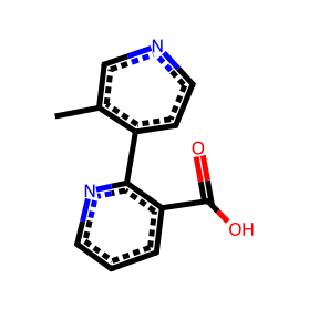 Cc1cnccc1-c1ncccc1C(=O)O